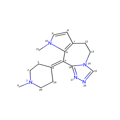 CN1CCC(=C2c3c(ccn3C)CCn3cnnc32)CC1